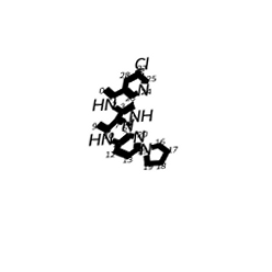 C=C(Nc1c[nH]nc1C(=C)Nc1ccc(N2CCCC2)nc1)c1cncc(Cl)c1